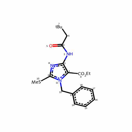 CCOC(=O)c1c(NC(=O)CC(C)(C)C)nc(SC)n1Cc1ccccc1